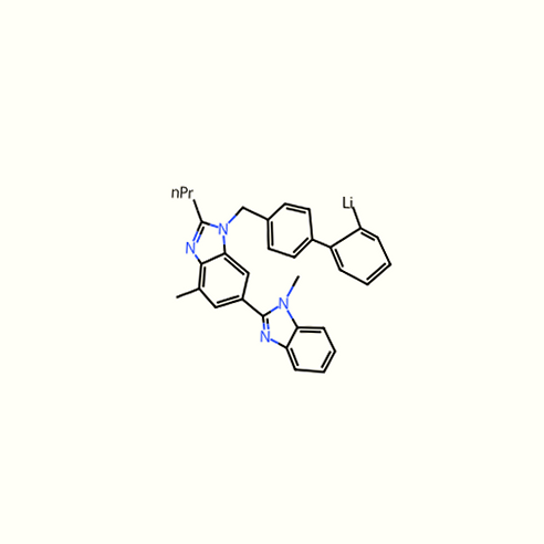 [Li][c]1ccccc1-c1ccc(Cn2c(CCC)nc3c(C)cc(-c4nc5ccccc5n4C)cc32)cc1